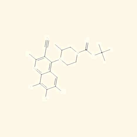 CC1CN(C(=O)OC(C)(C)C)CCN1c1c(C#N)c(Cl)nc2c(F)c(Br)c(Cl)cc12